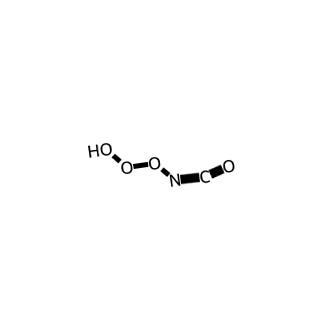 O=C=NOOO